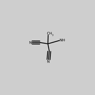 CC([NH])(C#N)C#N